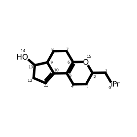 CC(C)CC1CCC2=C(CCC3C2=CCC3O)O1